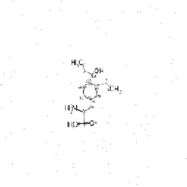 CCc1cc(C[C@H](N)C(=O)O)ccc1C(O)CC